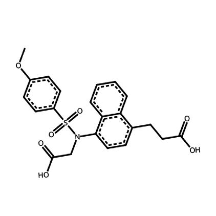 COc1ccc(S(=O)(=O)N(CC(=O)O)c2ccc(CCC(=O)O)c3ccccc23)cc1